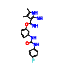 CNc1[nH]c(C)c(C)c1C(=N)Oc1cccc(NC(=O)Nc2ccc(F)cc2)c1